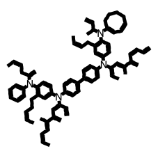 C=C/C=C\C(=C)/C(C)=C/C(=C\C)N(c1ccc(-c2ccc(N(/C(C=C)=C/C(=C)/C(C)=C/C=C\C)c3ccc(N(C(=C)C/C=C\C)c4ccccc4)c(CC/C=C\C)c3)cc2)cc1)c1ccc(N(/C2=C/C=C\CCCC2)C(C)C=C)c(C/C=C\C)c1